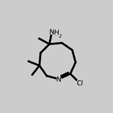 CC1(C)C/N=C(/Cl)CCCC(C)(N)C1